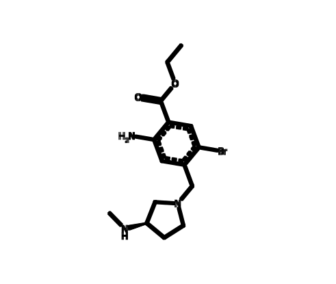 CCOC(=O)c1cc(Br)c(CN2CC[C@@H](NC)C2)cc1N